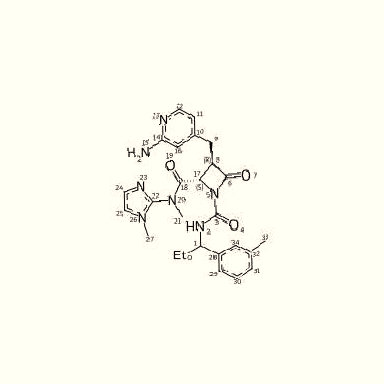 CCC(NC(=O)N1C(=O)[C@H](Cc2ccnc(N)c2)[C@H]1C(=O)N(C)c1nccn1C)c1cccc(C)c1